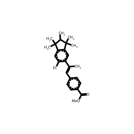 CCc1cc2c(cc1C(C)=Cc1ccc(C(=O)OC)cc1)C(C)(C)C(C)C2(C)C